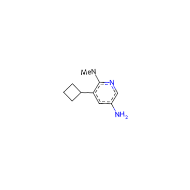 CNc1ncc(N)cc1C1CCC1